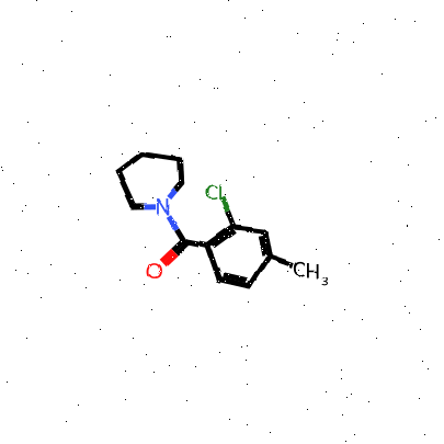 Cc1ccc(C(=O)N2CCCCC2)c(Cl)c1